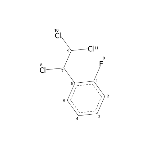 Fc1ccccc1C(Cl)C(Cl)Cl